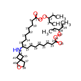 CCC(CC)OOC(=O)CCCCCCCC(CCCCCCCC(=O)OOC(CC)CC)NC1CC2(CCOC2)C1